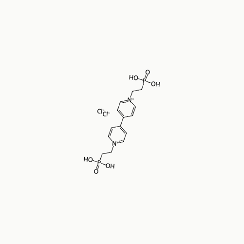 O=P(O)(O)CC[n+]1ccc(-c2cc[n+](CCP(=O)(O)O)cc2)cc1.[Cl-].[Cl-]